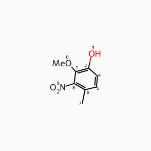 COc1c(O)ccc(C)c1[N+](=O)[O-]